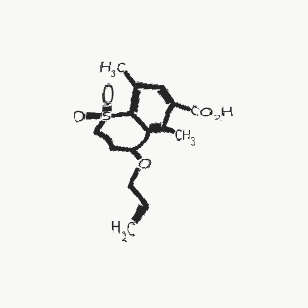 C=CCOC1CCS(=O)(=O)c2c(C)cc(C(=O)O)c(C)c21